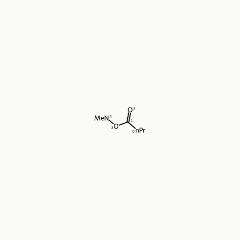 CCCC(=O)ONC